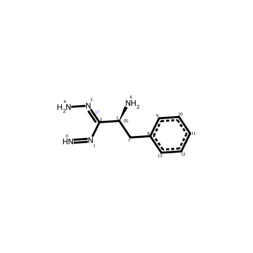 N=N/C(=N\N)[C@@H](N)Cc1ccccc1